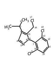 CC(C)c1cnn(-c2c(Cl)cccc2Cl)c1CCl